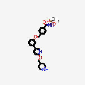 CS(=O)(=O)NC(=O)c1ccc(COc2cccc(-c3ccc(OCC4CCNCC4)nc3)c2)cc1